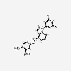 COc1ccc(CNc2ncnc3c2cnn3-c2cc(C)cc(C)c2)cc1OC